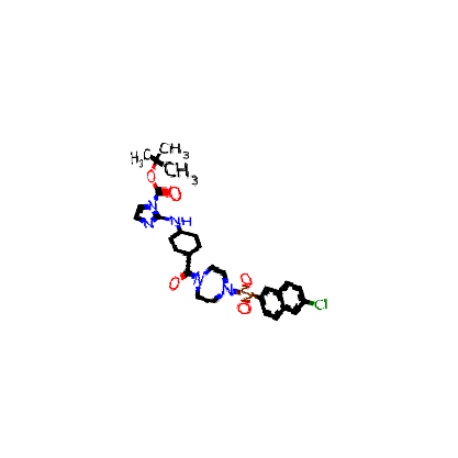 CC(C)(C)OC(=O)n1ccnc1NC1CCC(C(=O)N2CCN(S(=O)(=O)c3ccc4cc(Cl)ccc4c3)CC2)CC1